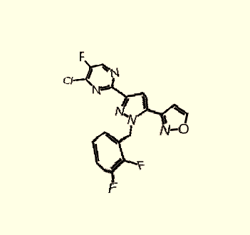 Fc1cnc(-c2cc(-c3ccon3)n(Cc3cccc(F)c3F)n2)nc1Cl